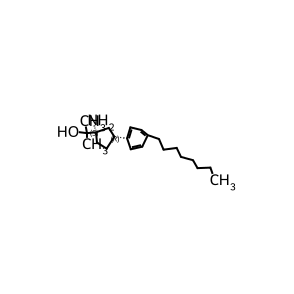 CCCCCCCCc1ccc([C@@H]2CC[C@@](N)(C(C)(C)O)C2)cc1